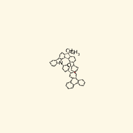 CC1(C)c2ccc3c(oc4ccccc43)c2-c2c1ccc1c3ccccc3n(-c3ccc(-c4ccc5c6ccccc6c6ccccc6c5c4)cc3)c21